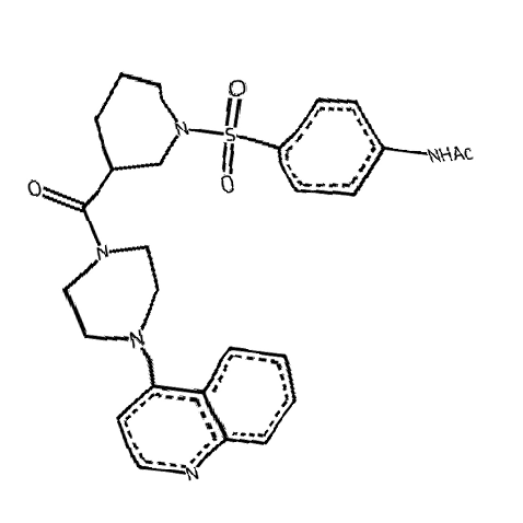 CC(=O)Nc1ccc(S(=O)(=O)N2CCCC(C(=O)N3CCN(c4ccnc5ccccc45)CC3)C2)cc1